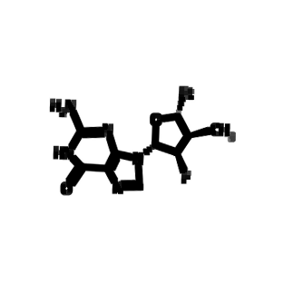 CC[C@H]1O[C@@H](n2cnc3c(=O)[nH]c(N)nc32)[C@H](F)[C@@H]1C